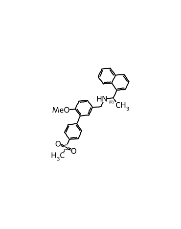 COc1ccc(CN[C@H](C)c2cccc3ccccc23)cc1-c1ccc(S(C)(=O)=O)cc1